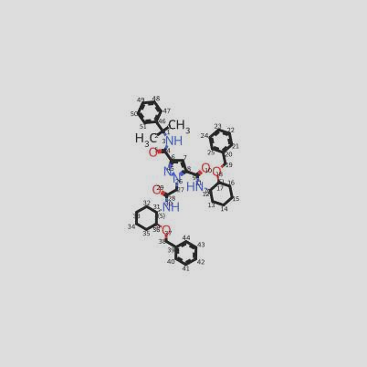 CC(C)(NC(=O)c1cc(C(=O)N[C@H]2CCCC[C@@H]2OCc2ccccc2)n(CC(=O)N[C@H]2CCCC[C@@H]2OCc2ccccc2)n1)c1ccccc1